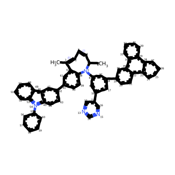 C/C1=C\C=C/C(C)N(c2cc(-c3cncnc3)cc(-c3ccc4c5ccccc5c5ccccc5c4c3)c2)c2ccc(-c3ccc4c(c3)c3ccccc3n4-c3ccccc3)cc21